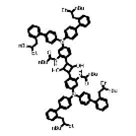 CCCCC(=O)Nc1cc(N(c2ccc(-c3ccccc3CC(CC)CCCC)cc2)c2ccc(-c3ccccc3CC(CC)CCCC)cc2)ccc1C1C(O)C(c2ccc(N(c3ccc(-c4ccccc4CC(CC)CCCC)cc3)c3ccc(-c4ccccc4CC(CC)CCCC)cc3)cc2NC(=O)CCCC)C1O